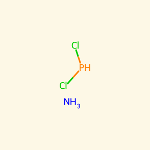 ClPCl.N